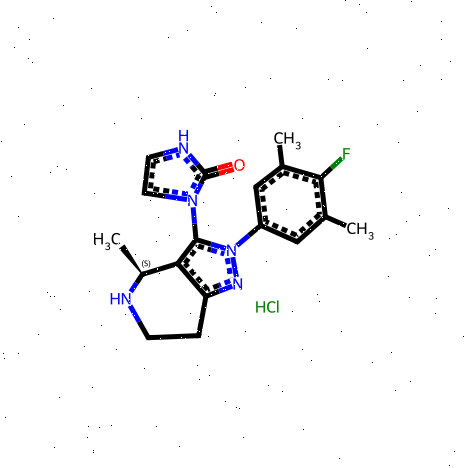 Cc1cc(-n2nc3c(c2-n2cc[nH]c2=O)[C@H](C)NCC3)cc(C)c1F.Cl